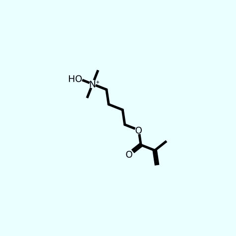 C=C(C)C(=O)OCCCC[N+](C)(C)O